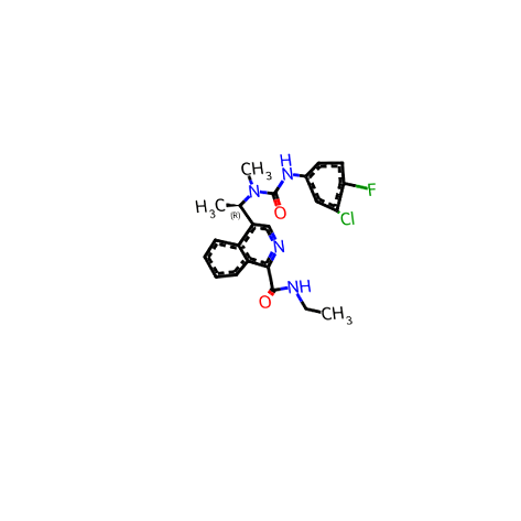 CCNC(=O)c1ncc([C@@H](C)N(C)C(=O)Nc2ccc(F)c(Cl)c2)c2ccccc12